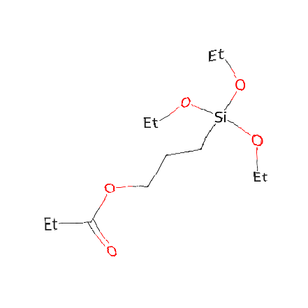 CCO[Si](CCCOC(=O)CC)(OCC)OCC